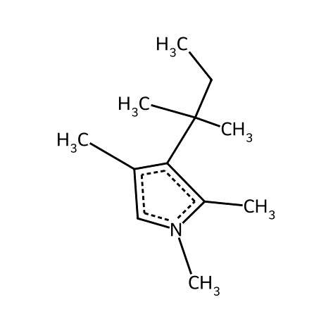 CCC(C)(C)c1c(C)cn(C)c1C